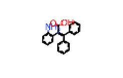 Nc1ccccc1C(C(=O)O)=C(c1ccccc1)c1ccccc1